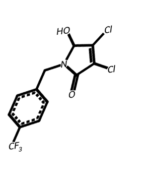 O=C1C(Cl)=C(Cl)C(O)N1Cc1ccc(C(F)(F)F)cc1